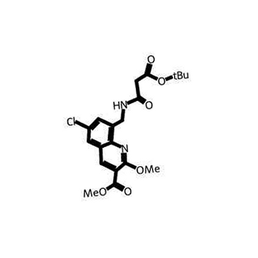 COC(=O)c1cc2cc(Cl)cc(CNC(=O)CC(=O)OC(C)(C)C)c2nc1OC